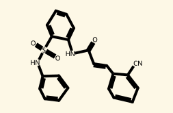 N#Cc1ccccc1C=CC(=O)Nc1ccccc1S(=O)(=O)Nc1ccccc1